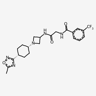 Cc1nc([C@H]2CC[C@@H](N3CC(NC(=O)CNC(=O)c4cccc(C(F)(F)F)c4)C3)CC2)no1